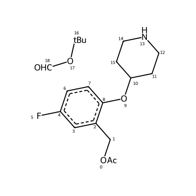 CC(=O)OCc1cc(F)ccc1OC1CCNCC1.CC(C)(C)OC=O